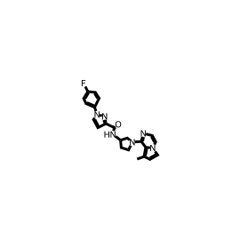 Cc1ccn2ccnc(N3CCC(NC(=O)c4ccn(-c5ccc(F)cc5)n4)C3)c12